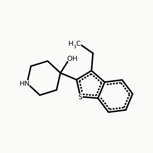 CCc1c(C2(O)CCNCC2)sc2ccccc12